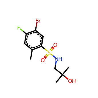 Cc1cc(F)c(Br)cc1S(=O)(=O)NCC(C)(C)O